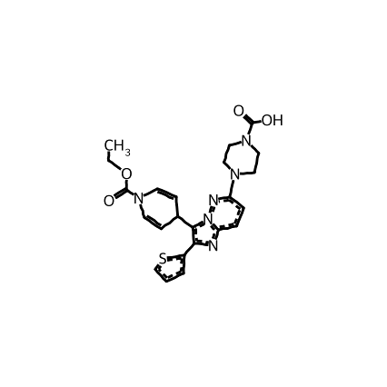 CCOC(=O)N1C=CC(c2c(-c3cccs3)nc3ccc(N4CCN(C(=O)O)CC4)nn23)C=C1